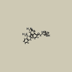 CCc1c(Cc2ccccc2)c2ccc(OCCCP(=O)(O)O)cc2n1CC(N)=O